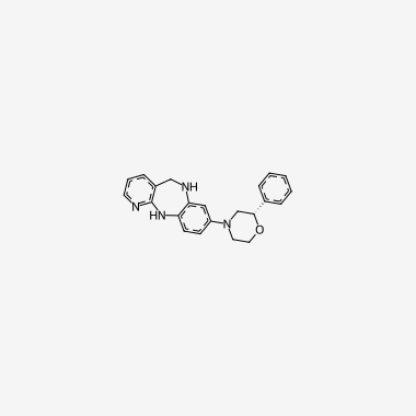 c1ccc([C@H]2CN(c3ccc4c(c3)NCc3cccnc3N4)CCO2)cc1